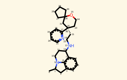 CC1Cc2cccc3c2N1CCC3NCC[C@@]1(c2ccccn2)CCOC2(CCCC2)C1